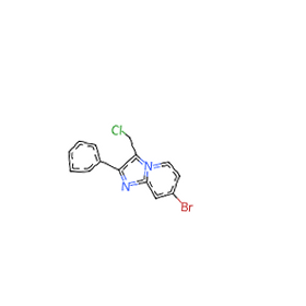 ClCc1c(-c2ccccc2)nc2cc(Br)ccn12